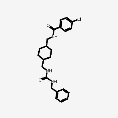 O=C(NCc1ccccc1)NCC1CCC(CNC(=O)c2ccc(Cl)cc2)CC1